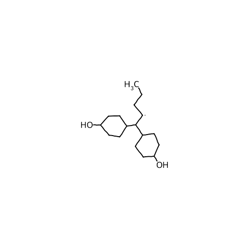 CCC[CH]C(C1CCC(O)CC1)C1CCC(O)CC1